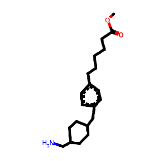 COC(=O)CCCCCc1ccc(CC2CCC(CN)CC2)cc1